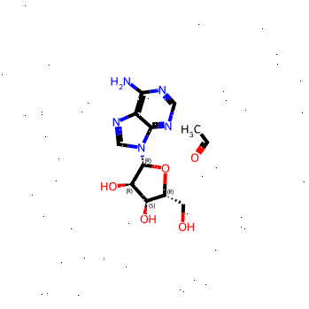 CC=O.Nc1ncnc2c1ncn2[C@@H]1O[C@H](CO)[C@@H](O)[C@H]1O